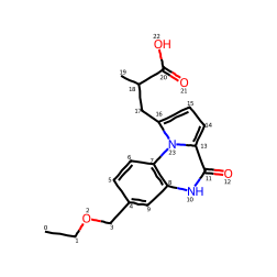 CCOCc1ccc2c(c1)[nH]c(=O)c1ccc(CC(C)C(=O)O)n12